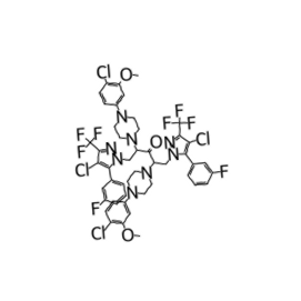 COc1cc(N2CCN(C(Cn3nc(C(F)(F)F)c(Cl)c3-c3cccc(F)c3)C(=O)C(Cn3nc(C(F)(F)F)c(Cl)c3-c3cccc(F)c3)N3CCN(c4ccc(Cl)c(OC)c4)CC3)CC2)ccc1Cl